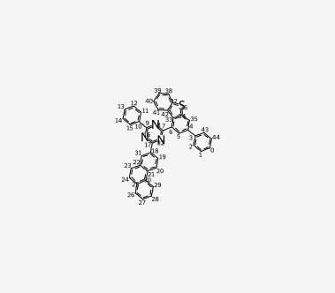 c1ccc(-c2cc(-c3nc(-c4ccccc4)nc(-c4ccc5c(ccc6ccccc65)c4)n3)c3c(c2)sc2ccccc23)cc1